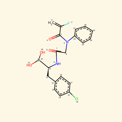 C=C(F)C(=O)N(CC(=O)N[C@@H](Cc1ccc(Cl)cc1)B(O)O)c1ccccc1